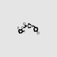 O=C(COc1c(F)cccc1F)N1CCN(Cc2ccc(Cl)cc2)CC1